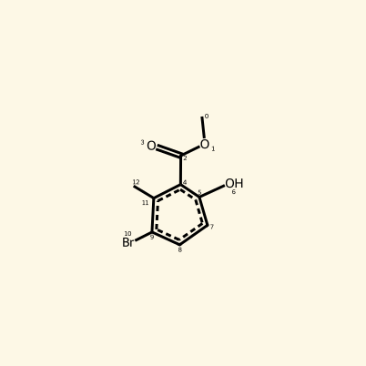 COC(=O)c1c(O)ccc(Br)c1C